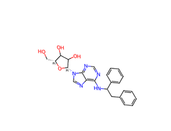 OC[C@H]1O[C@@H](n2cnc3c(NC(Cc4ccccc4)c4ccccc4)ncnc32)C(O)C1O